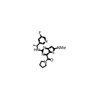 CNc1cc2nc(N[C@@H](C)c3cncc(F)c3)nc(C(=O)N3CCCC3)c2s1